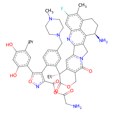 CC[C@@]1(c2cc(CN3CCN(C)CC3)ccc2-c2c(C(=O)OC(=O)CN)noc2-c2cc(C(C)C)c(O)cc2O)C(=O)OCc2c1cc1n(c2=O)Cc2c-1nc1cc(F)c(C)c3c1c2[C@H](N)CC3